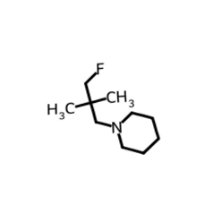 CC(C)(CF)CN1CCCCC1